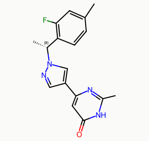 Cc1ccc([C@@H](C)n2cc(-c3cc(=O)[nH]c(C)n3)cn2)c(F)c1